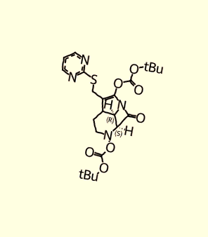 CC(C)(C)OC(=O)OC1=C(CSc2ncccn2)C2CCN(OC(=O)OC(C)(C)C)[C@@H]3C(=O)N1[C@H]23